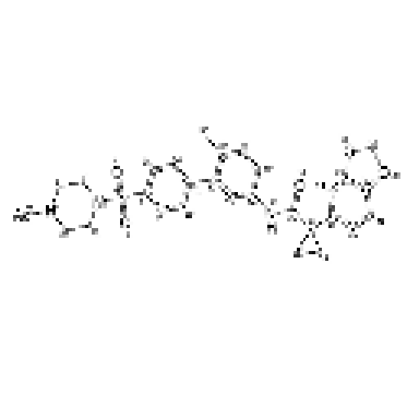 CC(=O)N1CCN(S(=O)(=O)c2ccc(-c3cc(NC(=O)C4(c5ccc6c(c5)OCO6)CC4)ccc3C)cc2)CC1